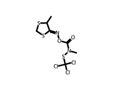 CC1SCSC1=NOC(=O)N(C)SC(Cl)(Cl)Cl